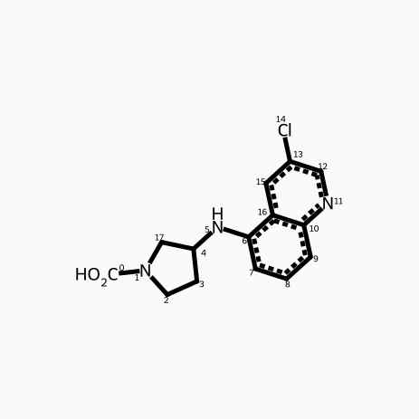 O=C(O)N1CCC(Nc2cccc3ncc(Cl)cc23)C1